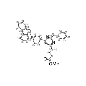 COC(=O)CCNc1cc(-c2ccc(-c3cccc4c3oc3ccccc34)cc2)nc(Cc2ccccc2)n1